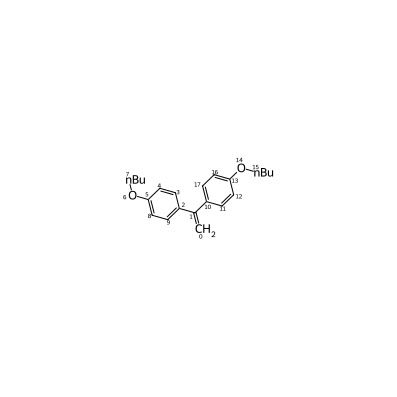 C=C(c1ccc(OCCCC)cc1)c1ccc(OCCCC)cc1